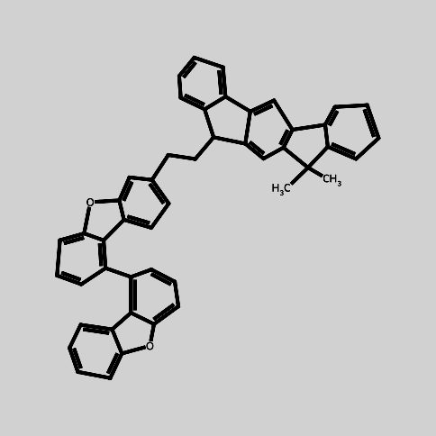 CC1(C)c2ccccc2-c2cc3c(cc21)C(CCc1ccc2c(c1)oc1cccc(-c4cccc5oc6ccccc6c45)c12)c1ccccc1-3